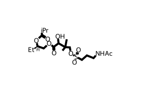 CC[C@H](COC(=O)C(O)C(C)(C)COS(=O)(=O)CCCNC(C)=O)OC(=O)C(C)C